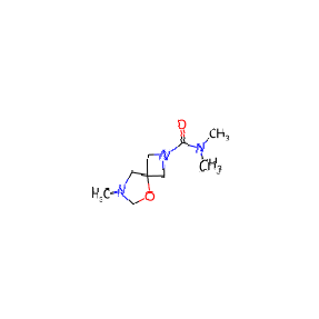 CN1COC2(C1)CN(C(=O)N(C)C)C2